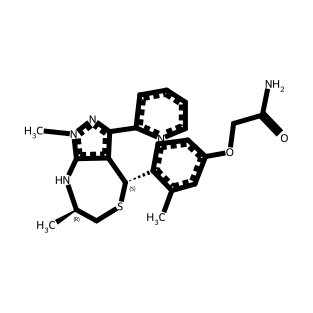 Cc1cc(OCC(N)=O)ccc1[C@@H]1SC[C@@H](C)Nc2c1c(-c1ccccn1)nn2C